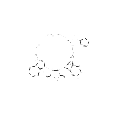 O=C1NC(=O)C2=C1c1cn(c3ccccc13)CCOCCOCCN(Cc1ccco1)CCn1cc2c2ccccc21